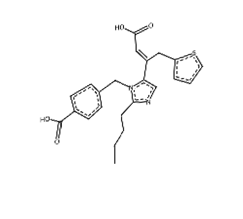 CCCCc1ncc(C(=CC(=O)O)Cc2cccs2)n1Cc1ccc(C(=O)O)cc1